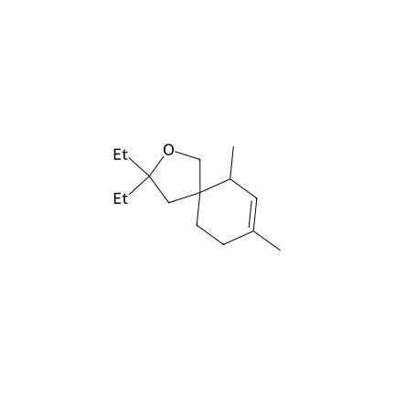 CCC1(CC)CC2(CCC(C)=CC2C)CO1